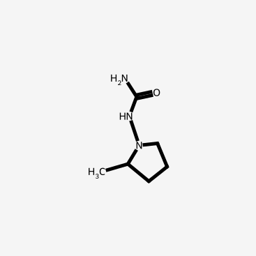 CC1CCCN1NC(N)=O